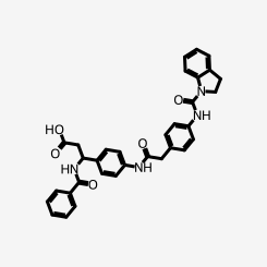 O=C(O)CC(NC(=O)c1ccccc1)c1ccc(NC(=O)Cc2ccc(NC(=O)N3CCc4ccccc43)cc2)cc1